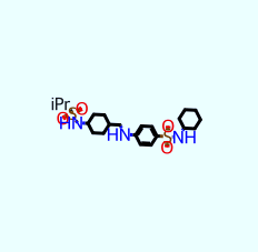 CC(C)S(=O)(=O)NC1CCC(CNc2ccc(S(=O)(=O)NC3CCCCC3)cc2)CC1